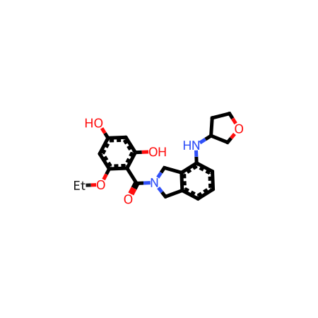 CCOc1cc(O)cc(O)c1C(=O)N1Cc2cccc(NC3CCOC3)c2C1